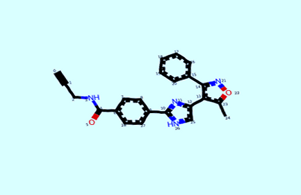 C#CCNC(=O)c1ccc(-c2nc(-c3c(-c4ccccc4)noc3C)c[nH]2)cc1